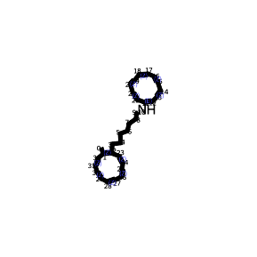 CC1=C(CCCCCCCNC2=C/C=C\C=C/C=C\C=C/C=C\2)/C=C\C=C/C=C\C=C/C=C\1